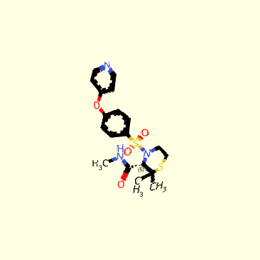 CNC(=O)[C@@H]1N(S(=O)(=O)c2ccc(Oc3ccncc3)cc2)CCSC1(C)C